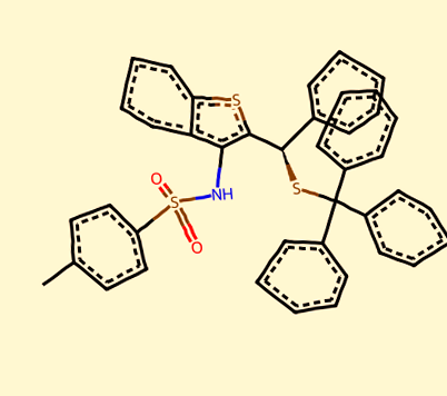 Cc1ccc(S(=O)(=O)Nc2c([C@H](SC(c3ccccc3)(c3ccccc3)c3ccccc3)c3ccccc3)sc3ccccc23)cc1